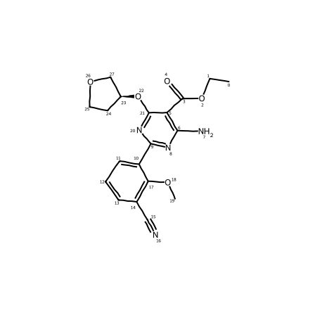 CCOC(=O)c1c(N)nc(-c2cccc(C#N)c2OC)nc1O[C@H]1CCOC1